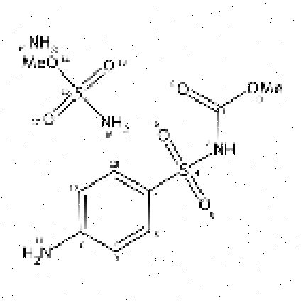 COC(=O)NS(=O)(=O)c1ccc(N)cc1.COS(N)(=O)=O.N